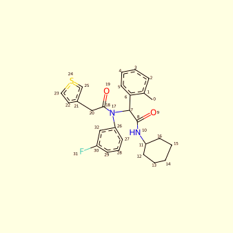 Cc1ccccc1C(C(=O)NC1CCCCC1)N(C(=O)Cc1ccsc1)c1cccc(F)c1